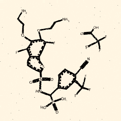 N#Cc1ccc(C(NS(=O)(=O)c2cc3c(F)c(OCCN)c(OCCN)c(F)c3s2)P(=O)(O)O)cc1C(F)(F)F.O=C(O)C(F)(F)F